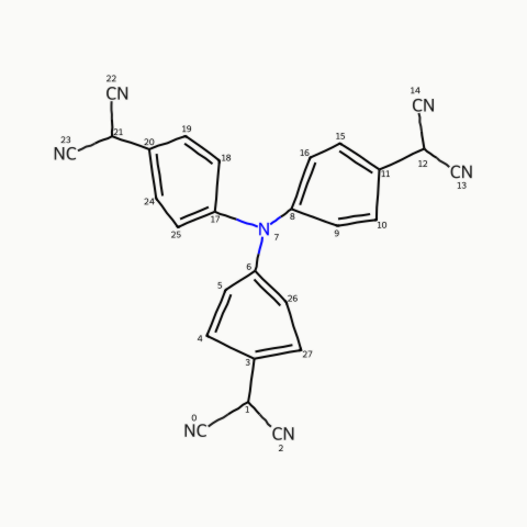 N#CC(C#N)c1ccc(N(c2ccc(C(C#N)C#N)cc2)c2ccc(C(C#N)C#N)cc2)cc1